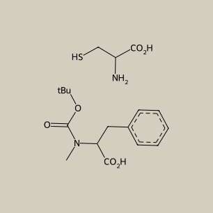 CN(C(=O)OC(C)(C)C)C(Cc1ccccc1)C(=O)O.NC(CS)C(=O)O